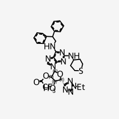 CCn1nnc([C@H]2O[C@@H](n3cnc4c(NCC(c5ccccc5)c5ccccc5)nc(NC5CCSCC5)nc43)[C@H](OC(=O)C(F)(F)F)[C@@H]2O)n1